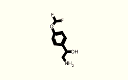 NCC(O)c1ccc(OC(F)F)cc1